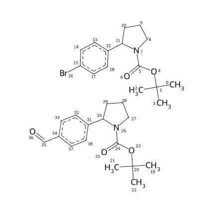 CC(C)(C)OC(=O)N1CCCC1c1ccc(Br)cc1.CC(C)(C)OC(=O)N1CCCC1c1ccc(C=O)cc1